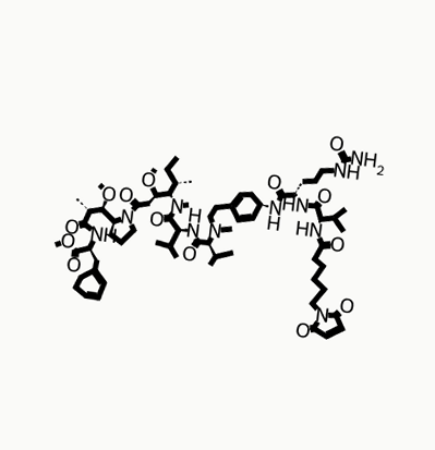 CC[C@H](C)[C@@H]([C@@H](CC(=O)N1CCC[C@H]1[C@H](OC)[C@@H](C)C(=O)N[C@@H](CC1=CC=CCC1)C(=O)OC)OC)N(C)C(=O)[C@@H](NC(=O)[C@H](C(C)C)N(C)CCC1=CC[C@H](NC(=O)[C@H](CCCNC(N)=O)NC(=O)[C@@H](NC(=O)CCCCCN2C(=O)C=CC2=O)C(C)C)C=C1)C(C)C